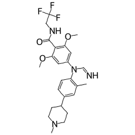 COc1cc(N(C=N)c2ccc(C3CCN(C)CC3)cc2C)cc(OC)c1C(=O)NCC(F)(F)F